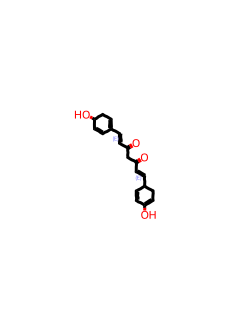 O=C(/C=C/C1=CCC(O)C=C1)CC(=O)/C=C/C1C=CC(O)=CC1